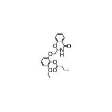 CCCC(=O)Oc1c(OCC)cccc1OCC1NC(=O)c2ccccc2O1